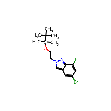 CC(C)(C)[Si](C)(C)OCCn1cc2cc(Br)cc(F)c2n1